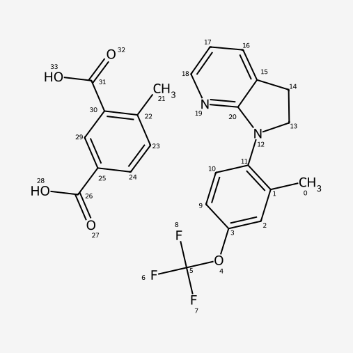 Cc1cc(OC(F)(F)F)ccc1N1CCc2cccnc21.Cc1ccc(C(=O)O)cc1C(=O)O